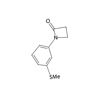 CSc1cccc(N2CCC2=O)c1